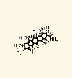 C[C@H](C1CC1)N(C)Cc1cc(O)c2c(c1N(C)C)C[C@H]1C[C@H]3[C@H](N(C)C)C(O)=C(C(N)=O)C(=O)[C@@]3(O)C(O)=C1C2=O